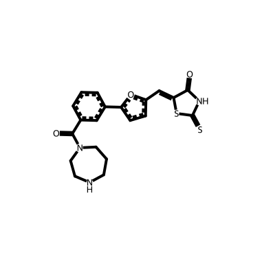 O=C1NC(=S)S/C1=C\c1ccc(-c2cccc(C(=O)N3CCCNCC3)c2)o1